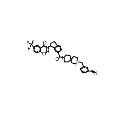 N#Cc1cccc(CN2CCC3(CC2)CCN(C(=O)c2ccc4c(c2)C(NC(=O)c2cc(C(F)(F)F)ccc2Cl)CC4)CC3)c1